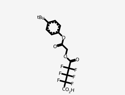 CC(C)(C)c1ccc(OC(=O)COC(=O)C(F)(F)C(F)(F)C(F)(F)C(=O)O)cc1